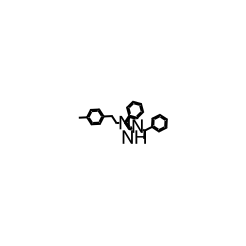 Cc1ccc(CCn2c(=N)n(C(C)c3ccccc3)c3ccccc32)cc1